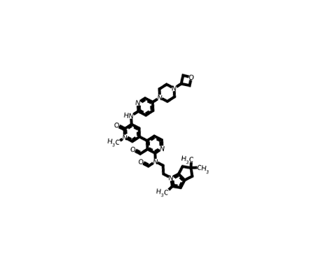 Cc1cc2c(n1CCN(C=O)c1nccc(-c3cc(Nc4ccc(N5CCN(C6COC6)CC5)cn4)c(=O)n(C)c3)c1C=O)CC(C)(C)C2